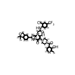 CCc1c(N2CCN(C(=O)c3ccnc(C)c3O)CC2)c(=O)n2nc(-c3ccc4c(c3)COC4(C)C)nc2n1CC(=O)Nc1ccc(C(F)(F)F)cc1Cl